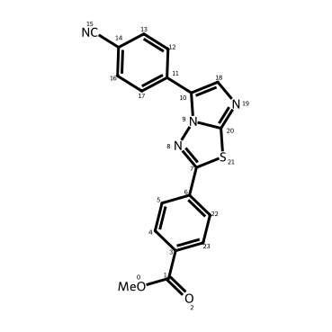 COC(=O)c1ccc(-c2nn3c(-c4ccc(C#N)cc4)cnc3s2)cc1